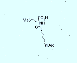 CCCCCCCCCCCCCCCCC(=O)N[C@@H](CCSC)C(=O)O